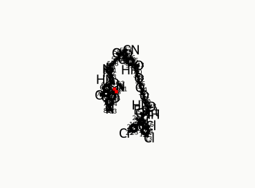 CCC(CC)(NC(=O)c1nn(-c2ccc(Cl)cc2Cl)c(-c2ccc(Cl)cc2)c1C)C(=O)NCCOCCOCCOCCNC(=O)c1ccc(S(=O)(=O)N(CC#N)C(=O)CCCCn2cc(CNC(=O)c3ccc4c(c3)C3(OC4=O)c4ccc(N(C)C)cc4Oc4cc(N(C)C)ccc43)nn2)cc1